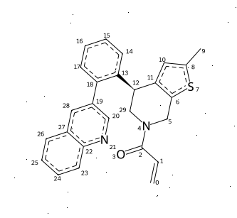 C=CC(=O)N1Cc2sc(C)cc2[C@H](c2ccccc2-c2cnc3ccccc3c2)C1